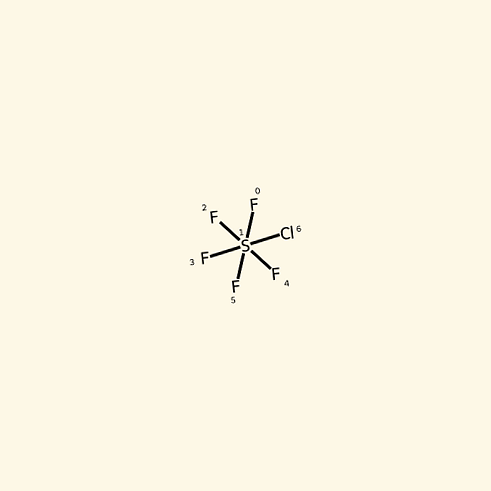 FS(F)(F)(F)(F)Cl